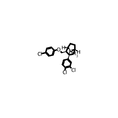 CN1[C@@H]2CC[C@H]1[C@H](COc1ccc(Cl)cc1)[C@H](c1ccc(Cl)c(Cl)c1)C2